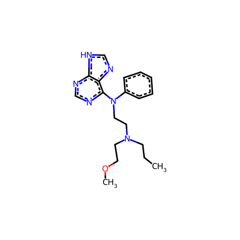 CCCN(CCOC)CCN(c1ccccc1)c1ncnc2[nH]cnc12